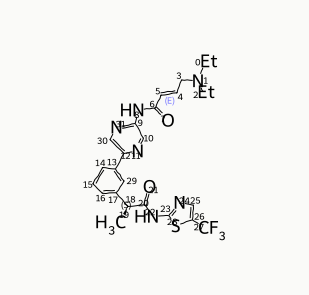 CCN(CC)C/C=C/C(=O)Nc1cnc(-c2cccc([C@H](C)C(=O)Nc3ncc(C(F)(F)F)s3)c2)cn1